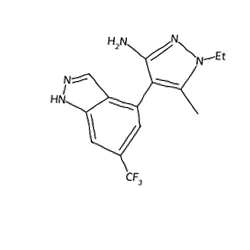 CCn1nc(N)c(-c2cc(C(F)(F)F)cc3[nH]ncc23)c1C